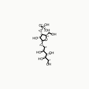 O=P(O)(O)O[C@H]1[C@@H](O)[C@H](OC[C@H](O)[C@H](O)[C@H](O)CO)O[C@@H]1CO